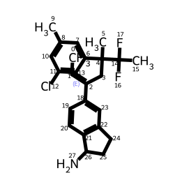 C/C=C(\CC(C)(c1cc(C)cc(Cl)c1)C(C)(F)F)c1ccc2c(c1)CCC2N